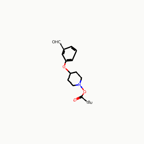 CC(C)(C)C(=O)ON1CCC(Oc2cccc(C=O)c2)CC1